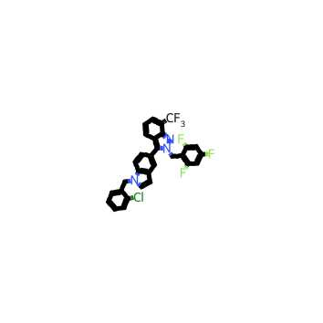 Fc1cc(F)c(Cn2nc3c(C(F)(F)F)cccc3c2-c2ccc3c(ccn3Cc3ccccc3Cl)c2)c(F)c1